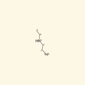 [2H]CCNCC